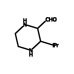 CC(C)C1NCCNC1C=O